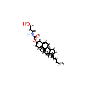 CC(C)CCCC1CCC2C3CC=C4C[C@H](OC(=O)NCCCO)CC[C@@]4(C)C3CC[C@@]12C